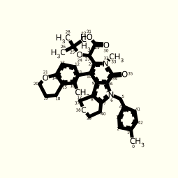 Cc1ccc(Cn2c3c(c4c(-c5ccc6c(c5C)CCCO6)c(C(OC(C)(C)C)C(=O)O)n(C)c(=O)c42)CCCC3)cc1